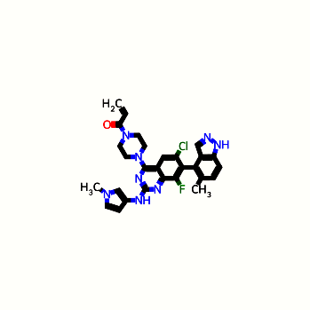 C=CC(=O)N1CCN(c2nc(Nc3ccn(C)c3)nc3c(F)c(-c4c(C)ccc5[nH]ncc45)c(Cl)cc23)CC1